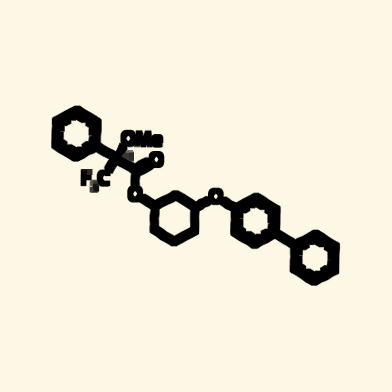 CO[C@](C(=O)OC1CCCC(Oc2ccc(-c3ccccc3)cc2)C1)(c1ccccc1)C(F)(F)F